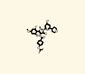 COc1cc(C2CCOCC2)nc(-n2c(=O)c(NC(=O)c3ccc(OC(F)F)cc3)c(-c3c(F)cc(OC)cc3F)n2C)c1